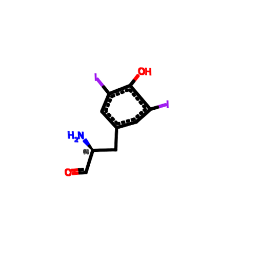 N[C@H](C=O)Cc1cc(I)c(O)c(I)c1